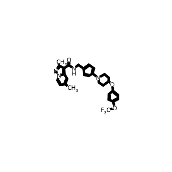 Cc1ccn2nc(C)c(C(=O)NCc3ccc(N4CCC(Oc5ccc(OC(F)(F)F)cc5)CC4)cc3)c2c1